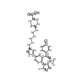 Cc1nnc2n1-c1ccc(-c3cnn(CCCCCCN4CCN(C(=O)O)CC4)c3)cc1C(c1ccc(Cl)cc1)=NC21CC1